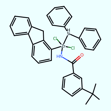 CC(C)(C)c1cccc(C(=O)[NH][Zr]([Cl])([Cl])([c]2cccc3c2Cc2ccccc2-3)[SiH](c2ccccc2)c2ccccc2)c1